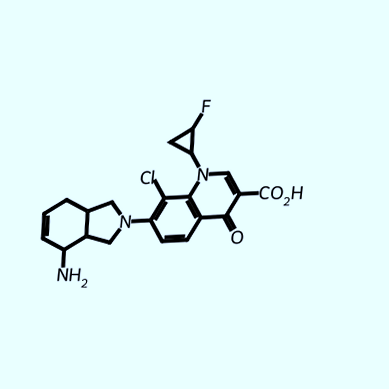 NC1C=CCC2CN(c3ccc4c(=O)c(C(=O)O)cn(C5CC5F)c4c3Cl)CC12